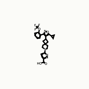 O=C(O)c1ccc(N2CCC3(CC2)CC(c2c(-c4ccccc4OC(F)(F)F)noc2C2CC2)C3)nn1